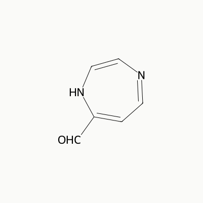 O=CC1=CC=NC=CN1